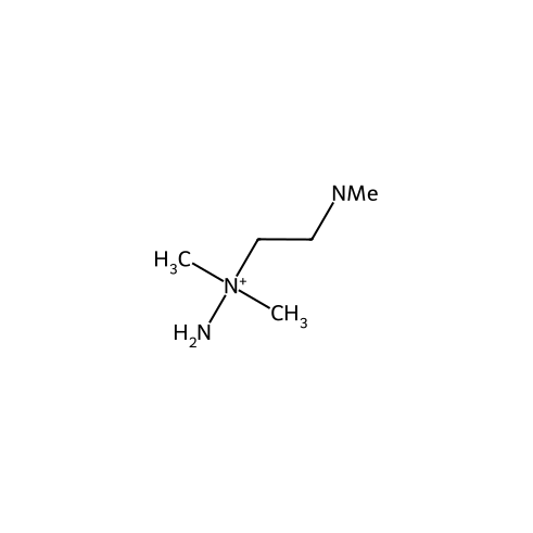 CNCC[N+](C)(C)N